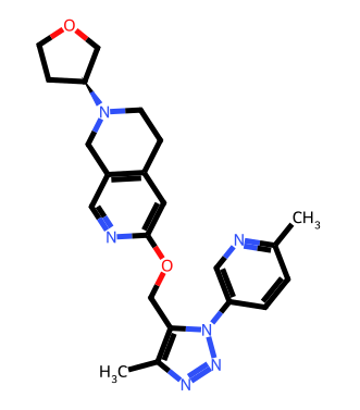 Cc1ccc(-n2nnc(C)c2COc2cc3c(cn2)CN([C@H]2CCOC2)CC3)cn1